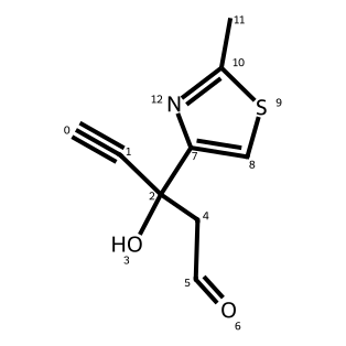 C#CC(O)(CC=O)c1csc(C)n1